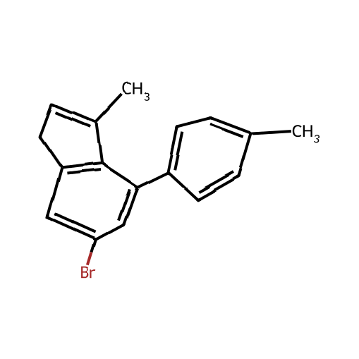 CC1=CCc2cc(Br)cc(-c3ccc(C)cc3)c21